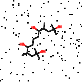 CC(CC(C)(C)O)C(O)CCCC(O)C(C)CC(C)(C)O